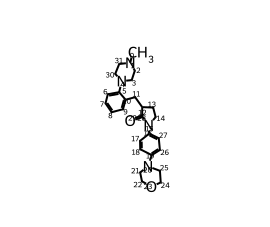 CN1CCN(c2ccccc2CC2CCN(c3ccc(N4CCOCC4)cc3)C2=O)CC1